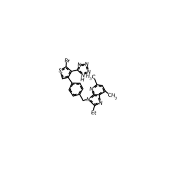 CCc1nc2c(C)cc(C)nc2n1Cc1ccc(-c2csc(Br)c2-c2nnn[nH]2)cc1